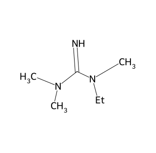 CCN(C)C(=N)N(C)C